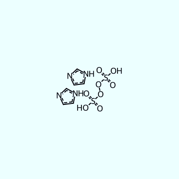 O=S(=O)(O)OOS(=O)(=O)O.c1c[nH]cn1.c1c[nH]cn1